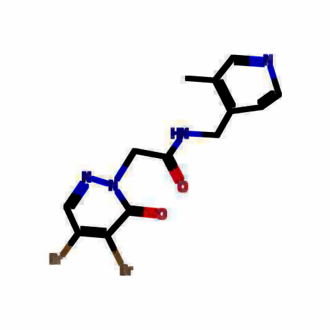 Cc1cnccc1CNC(=O)Cn1ncc(Br)c(Br)c1=O